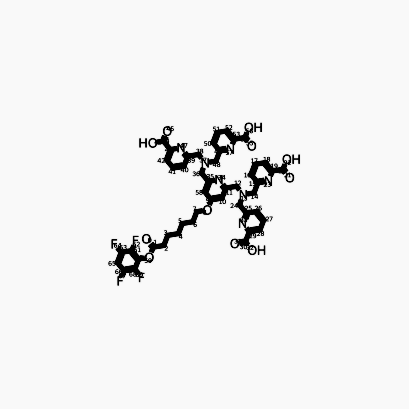 O=C(CCCCCCOc1cc(CN(Cc2cccc(C(=O)O)n2)Cc2cccc(C(=O)O)n2)nc(CN(Cc2cccc(C(=O)O)n2)Cc2cccc(C(=O)O)n2)c1)Oc1c(F)c(F)cc(F)c1F